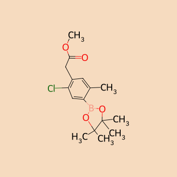 COC(=O)Cc1cc(C)c(B2OC(C)(C)C(C)(C)O2)cc1Cl